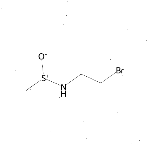 C[S+]([O-])NCCBr